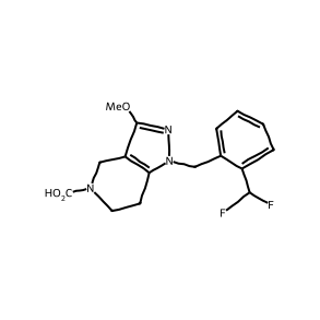 COc1nn(Cc2ccccc2C(F)F)c2c1CN(C(=O)O)CC2